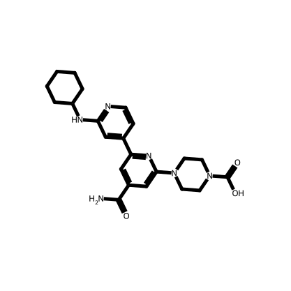 NC(=O)c1cc(-c2ccnc(NC3CCCCC3)c2)nc(N2CCN(C(=O)O)CC2)c1